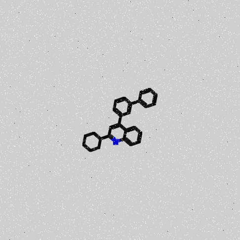 c1ccc(-c2cccc(-c3cc(C4CCCCC4)nc4ccccc34)c2)cc1